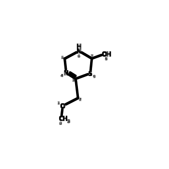 COCC1=NCNC(O)S1